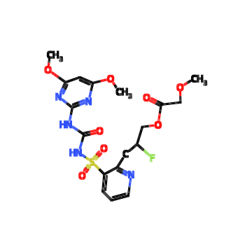 COCC(=O)OCC(F)Cc1ncccc1S(=O)(=O)NC(=O)Nc1nc(OC)cc(OC)n1